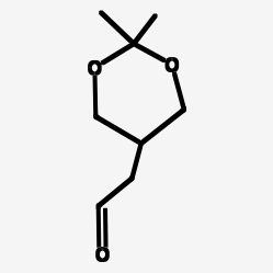 CC1(C)OCC(CC=O)CO1